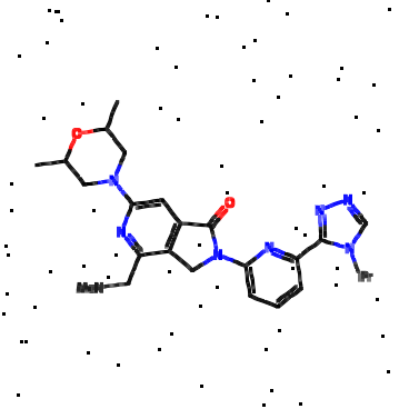 CNCc1nc(N2CC(C)OC(C)C2)cc2c1CN(c1cccc(-c3nncn3C(C)C)n1)C2=O